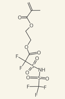 C=C(C)C(=O)OCCOC(=O)C(F)(F)S(=O)(=O)NS(=O)(=O)C(F)(F)F